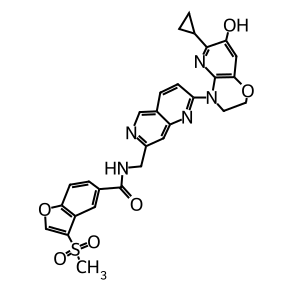 CS(=O)(=O)c1coc2ccc(C(=O)NCc3cc4nc(N5CCOc6cc(O)c(C7CC7)nc65)ccc4cn3)cc12